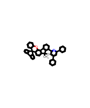 CC1(C)c2ccc3c(c2-c2cccc(-c4cc(-c5ccccc5)cc(-c5ccccc5)n4)c21)Oc1ccccc1C31c2ccccc2-c2ccccc21